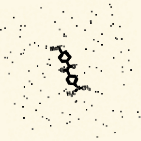 CNc1ccc(C(=O)C(=O)c2ccc(N(C)C)cc2)cc1